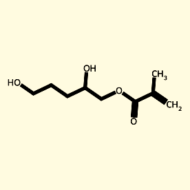 C=C(C)C(=O)OCC(O)CCCO